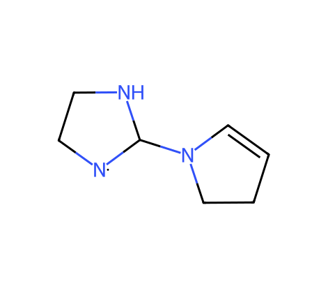 C1=CN(C2[N]CCN2)CC1